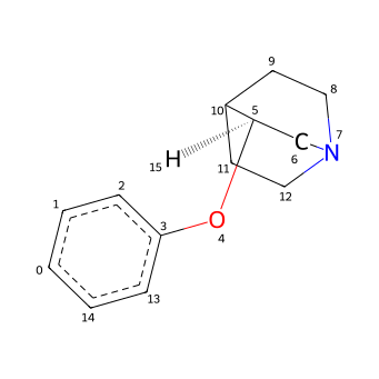 c1ccc(O[C@@H]2CN3CCC2CC3)cc1